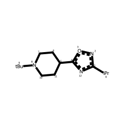 CC(C)c1noc(C2CCN(C(C)(C)C)CC2)n1